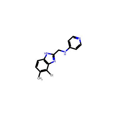 CCc1c(C)ccc2[nH]c(CNc3ccncc3)nc12